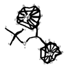 CC(C)(C)OC([C]12[CH]3[CH]4[CH]5[CH]1[Fe]45321678[CH]2[CH]1[CH]6[CH]7[CH]28)[C]12[CH]3[CH]4[CH]5[CH]1[Fe]45321678[CH]2[CH]1[CH]6[CH]7[CH]28